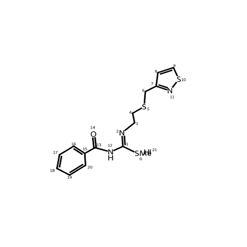 CSC(=NCCSCc1ccsn1)NC(=O)c1ccccc1.I